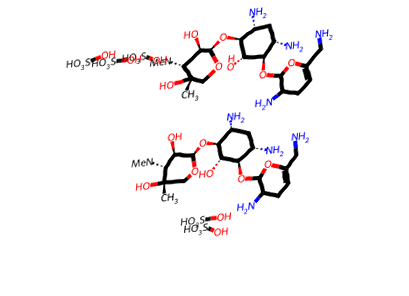 CN[C@@H]1[C@@H](O)[C@@H](O[C@@H]2[C@@H](O)[C@H](OC3OC(CN)=CCC3N)[C@@H](N)C[C@H]2N)OC[C@]1(C)O.CN[C@@H]1[C@@H](O)[C@@H](O[C@@H]2[C@@H](O)[C@H](OC3OC(CN)=CCC3N)[C@@H](N)C[C@H]2N)OC[C@]1(C)O.O=S(=O)(O)O.O=S(=O)(O)O.O=S(=O)(O)O.O=S(=O)(O)O.O=S(=O)(O)O